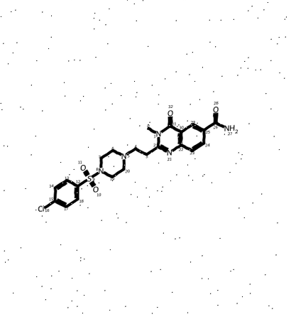 Cn1c(CCN2CCN(S(=O)(=O)c3ccc(Cl)cc3)CC2)nc2ccc(C(N)=O)cc2c1=O